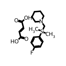 C[Si](C)(CN1CCCCC1)c1ccc(F)cc1.O=C(O)/C=C/C(=O)O